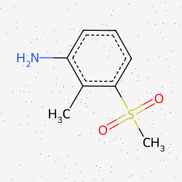 Cc1c(N)cccc1S(C)(=O)=O